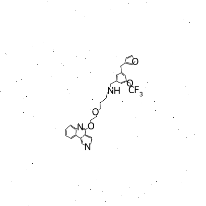 FC(F)(F)Oc1cc(CNCCCCOCCOc2nc3ccccc3c3cnccc23)cc(Cc2ccoc2)c1